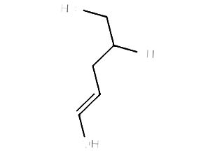 CCC(C)CC=CO